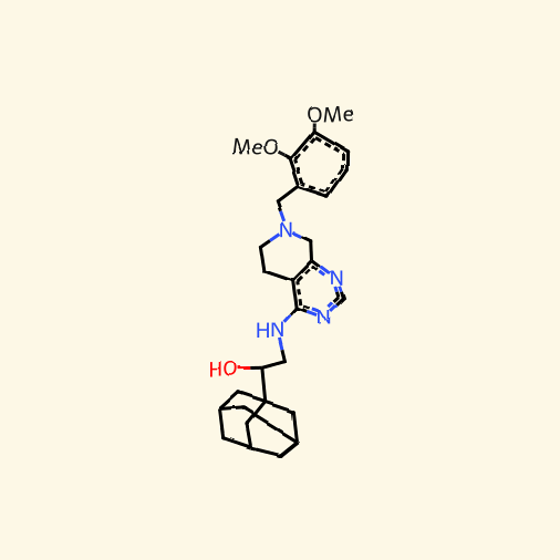 COc1cccc(CN2CCc3c(ncnc3NCC(O)C34CC5CC(CC(C5)C3)C4)C2)c1OC